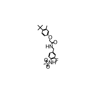 Cc1cc(OCC(=O)NCc2ccc(NS(C)(=O)=O)c(F)c2)ccc1C(C)(C)C